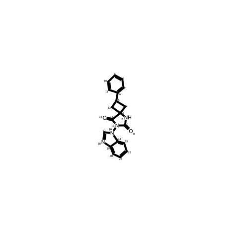 O=C1NC2(CC(c3ccccc3)C2)C(=O)N1n1cnc2ccccc21